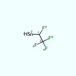 F[CH]([SnH])C(F)(F)F